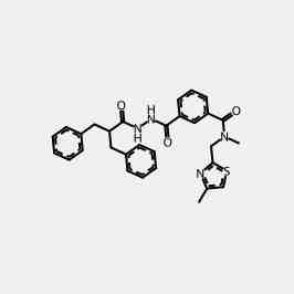 Cc1csc(CN(C)C(=O)c2cccc(C(=O)NNC(=O)C(Cc3ccccc3)Cc3ccccc3)c2)n1